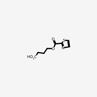 O=C(O)CCCOC(=O)c1nccs1